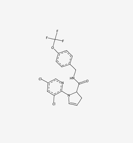 O=C(NCc1ccc(OC(F)(F)F)cc1)C1CC=CN1c1ncc(Cl)cc1Cl